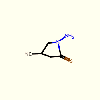 N#CC1CC(=S)N(N)C1